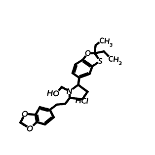 CCC1(CC)Oc2ccc(C3CCC(CCc4ccc5c(c4)OCO5)N3CO)cc2S1.Cl